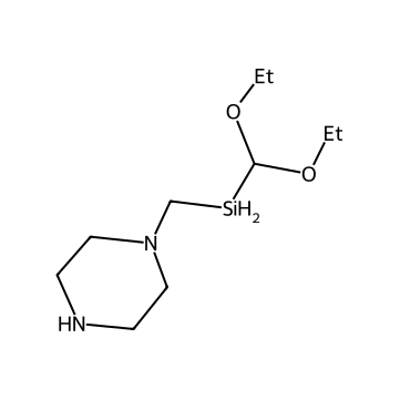 CCOC(OCC)[SiH2]CN1CCNCC1